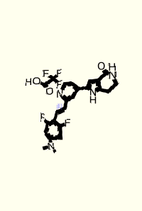 CN(C)c1cc(F)c(/C=C/c2cc(-c3cc4c([nH]3)CCNC4=O)ccn2)c(F)c1.O=C(O)C(F)(F)F